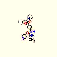 C=CC(N1CCCCC1)S(=O)(=O)c1ccc(NC(=O)NC(C)c2cccnc2)cc1